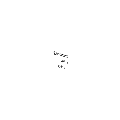 [GaH3].[La].[O]=[Mn].[SrH2]